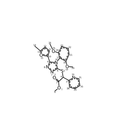 COC(=O)C(Sc1nnc(-c2ccc(C)o2)n1-c1c(OC)cccc1OC)c1ccccn1